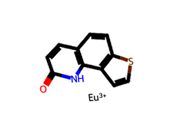 O=c1ccc2ccc3sccc3c2[nH]1.[Eu+3]